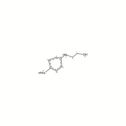 CCCCCCc1ccc(NCCO)cc1